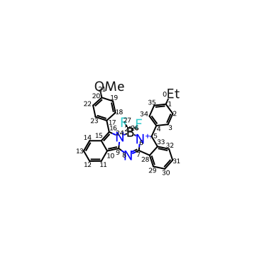 CCc1ccc(C2=[N+]3C(=Nc4c5ccccc5c(-c5ccc(OC)cc5)n4[B-]3(F)F)c3ccccc32)cc1